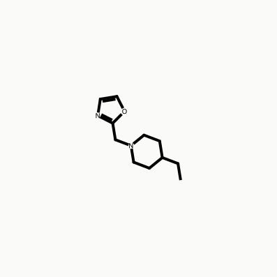 CCC1CCN(Cc2ncco2)CC1